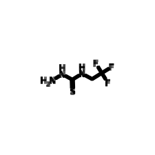 NNC(=S)NCC(F)(F)F